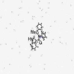 COc1ccccc1-n1ccs/c1=N\C(=O)c1c[nH]c2ncccc12